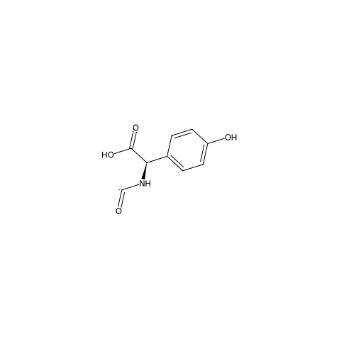 O=[C]N[C@@H](C(=O)O)c1ccc(O)cc1